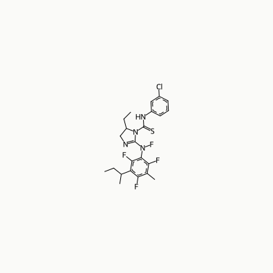 CCC(C)c1c(F)c(C)c(F)c(N(F)C2=NCC(CC)N2C(=S)Nc2cccc(Cl)c2)c1F